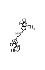 Cc1nc(Cl)c(F)c2c1CC(CNCCC1CN(C3=CNCC=N3)C(=O)O1)C2